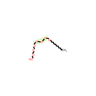 C=CCCCCCCCCCOCC(F)(F)OC(F)(F)C(F)(F)OC(F)(F)C(F)(F)OC(F)(F)COCCOCCOCCO